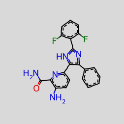 NC(=O)c1nc(-c2[nH]c(-c3c(F)cccc3F)nc2-c2ccccc2)ccc1N